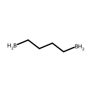 BCCCCB